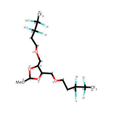 COC1OC(COCCC(F)(F)C(F)(F)C(F)(F)F)C(COCCC(F)(F)C(F)(F)C(F)(F)F)O1